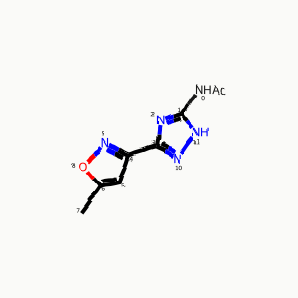 CC(=O)Nc1nc(-c2cc(C)on2)n[nH]1